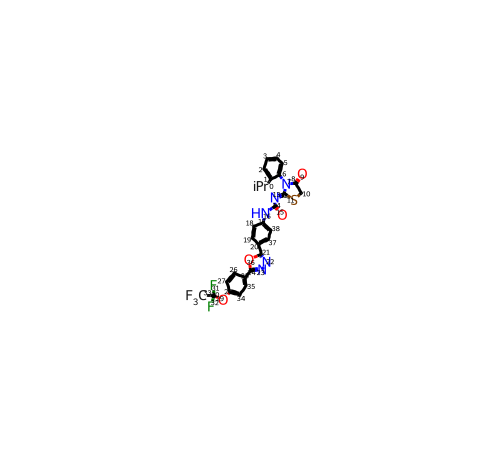 CC(C)c1ccccc1N1C(=O)CSC1=NC(=O)Nc1ccc(-c2nnc(-c3ccc(OC(F)(F)C(F)(F)F)cc3)o2)cc1